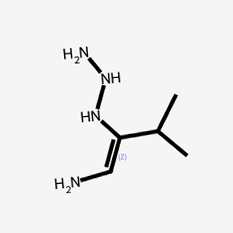 CC(C)/C(=C/N)NNN